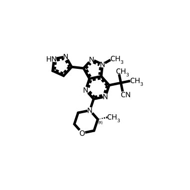 C[C@@H]1COCCN1c1nc(C(C)(C)C#N)c2c(n1)c(-c1cc[nH]n1)nn2C